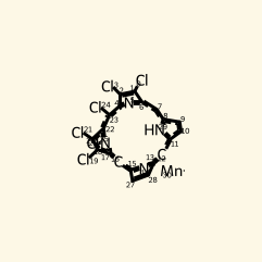 ClC1=C(Cl)c2nc1cc1ccc(cc3nc(cc4c(Cl)c(Cl)c(c2Cl)n4Cl)C=C3)[nH]1.[Mn]